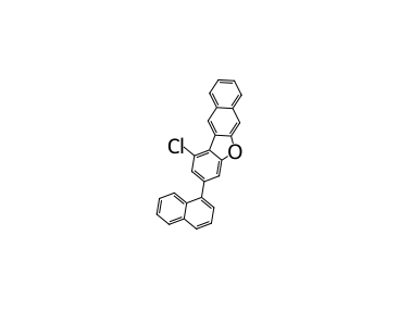 Clc1cc(-c2cccc3ccccc23)cc2oc3cc4ccccc4cc3c12